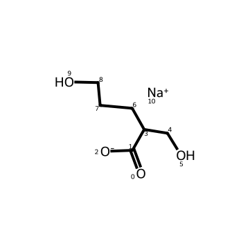 O=C([O-])C(CO)CCCO.[Na+]